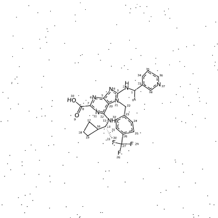 CC(Nc1nc2nc(C(=O)O)nc(N[C@H](C)C3CCC3)c2n1Cc1ccc(C(F)(F)F)cc1)c1cccnc1